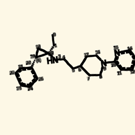 CC[C@@]1(NCCC2CCN(c3ccccn3)CC2)C[C@H]1c1ccccc1